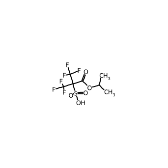 CC(C)OC(=O)C(C(F)(F)F)(C(F)(F)F)S(=O)(=O)O